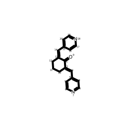 O=C1C(=Cc2ccncc2)CCCC1=Cc1ccncc1